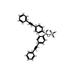 C[Si](C)(C)O[Si](C)(c1ccc(C#Cc2ccccc2)cc1)c1ccc(C#Cc2ccccc2)cc1